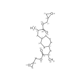 CC(CC1CCCC(CC(C)C(=O)OCC2CO2)CC1)C(=O)OCC1CO1